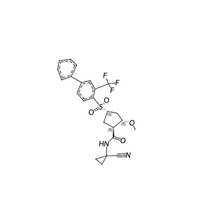 CO[C@H]1C[C@@H](S(=O)(=O)c2ccc(-c3ccccc3)cc2C(F)(F)F)C[C@@H]1C(=O)NC1(C#N)CC1